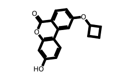 O=c1oc2cc(O)ccc2c2cc(OC3CCC3)ccc12